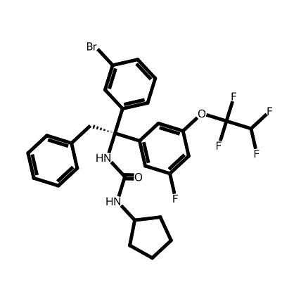 O=C(NC1CCCC1)N[C@@](Cc1ccccc1)(c1cccc(Br)c1)c1cc(F)cc(OC(F)(F)C(F)F)c1